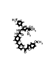 COc1ccc2oc(C(=O)N3CCC(Cc4ccc(NC(=O)Nc5cc(C(C)(C)C)nn5-c5ccc(C)cc5)cc4)CC3)cc2c1